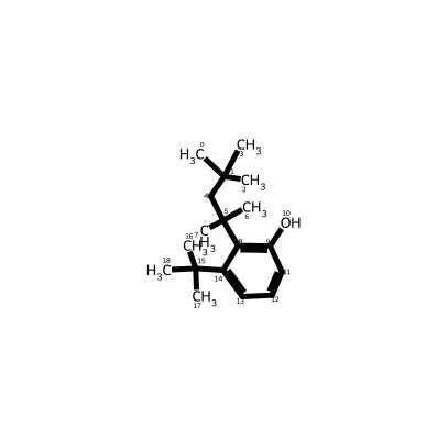 CC(C)(C)CC(C)(C)c1c(O)cccc1C(C)(C)C